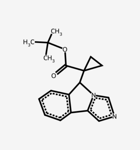 CC(C)(C)OC(=O)C1(C2c3ccccc3-c3cncn32)CC1